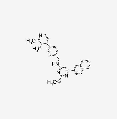 CSc1nc(NCc2ccc(C3C=CN=C(C)C3C)cc2)cc(-c2ccc3ccccc3c2)n1